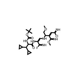 COCC(N/C=C(/NC(=O)C(NC(=O)OC(C)(C)C)C(C1CC1)C1CC1)C(=N)F)/C(=C/C(=N)Cl)C(=N)OC